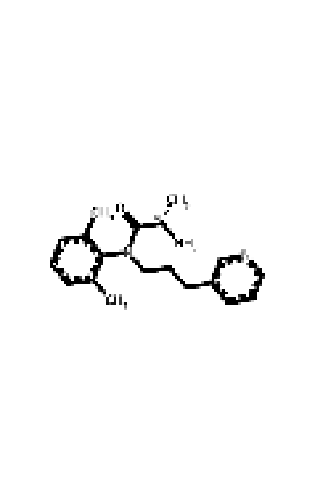 Cc1cccc(C)c1N(CCCc1cccnc1)C(=O)[C@H](C)N